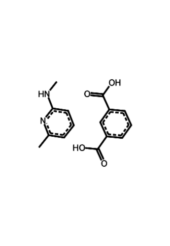 CNc1cccc(C)n1.O=C(O)c1cccc(C(=O)O)c1